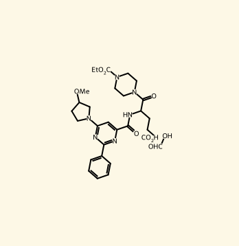 CCOC(=O)N1CCN(C(=O)C(CCC(=O)O)NC(=O)c2cc(N3CCC(OC)C3)nc(-c3ccccc3)n2)CC1.O=CO